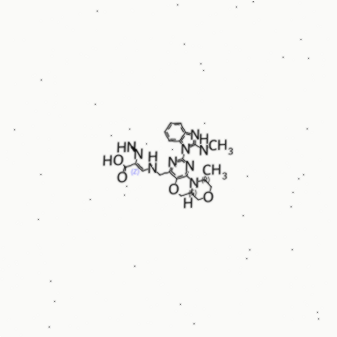 CNc1nc2ccccc2n1-c1nc(CN/C=C(\N=N)C(=O)O)c2c(n1)N1[C@@H](COC[C@H]1C)CO2